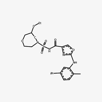 CCOC1COCCN(S(=O)(=O)NC(=O)c2coc(Nc3cc(C(C)C)ccc3C)n2)C1